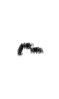 CCCCCCCCCC(CCCOP(=O)(O)OCCCC(CCCCCCCCC)OOOOOC1CCCCC1)OOOOOC1CCCCC1